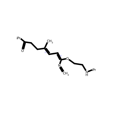 C=N/C(=C\C=C(/C)CCC(=O)C(C)C)OCCNC(C)C